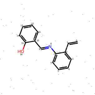 C=Cc1ccccc1N=Cc1ccccc1O